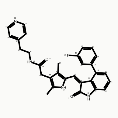 Cc1[nH]c(/C=C2\C(=O)Nc3cccc(-c4cccc(F)c4)c32)c(C)c1CC(=O)NCCc1ccncc1